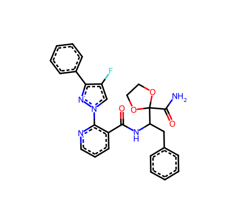 NC(=O)C1(C(Cc2ccccc2)NC(=O)c2cccnc2-n2cc(F)c(-c3ccccc3)n2)OCCO1